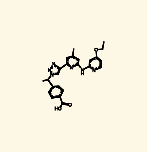 CCOc1ccnc(Nc2cc(C)cc(-c3cn(C(C)c4ccc(C(=O)O)cc4)nn3)n2)c1